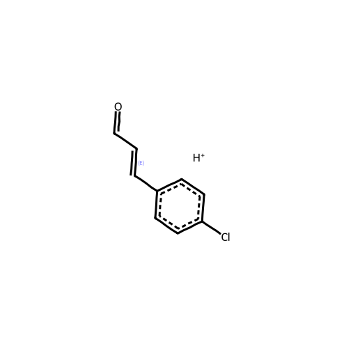 O=C/C=C/c1ccc(Cl)cc1.[H+]